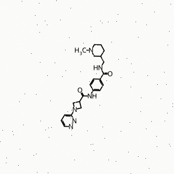 CN1CCCC(CNC(=O)c2ccc(NC(=O)C3CN(c4cccnn4)C3)cc2)C1